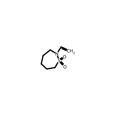 C=CN1CCCCCS1(=O)=O